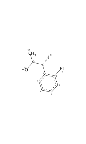 CCc1ccccc1[C@@H](I)C(C)O